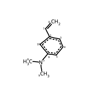 C=Cc1cccc(N(C)C)c1